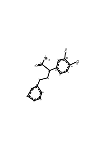 NC(=O)C(CCc1ccccc1)c1ccc(Cl)c(Cl)c1